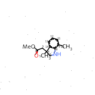 COC(=O)CC1(C)CNc2c(C)cccc21